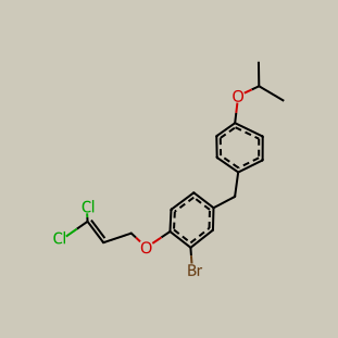 CC(C)Oc1ccc(Cc2ccc(OCC=C(Cl)Cl)c(Br)c2)cc1